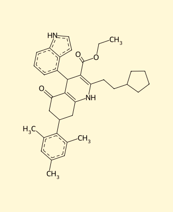 CCOC(=O)C1=C(CCC2CCCC2)NC2=C(C(=O)CC(c3c(C)cc(C)cc3C)C2)C1c1cccc2[nH]ccc12